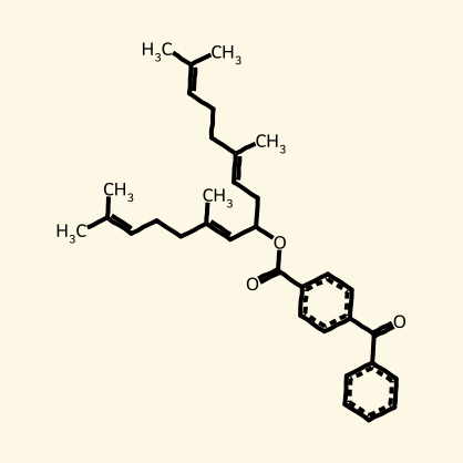 CC(C)=CCC/C(C)=C/CC(/C=C(\C)CCC=C(C)C)OC(=O)c1ccc(C(=O)c2ccccc2)cc1